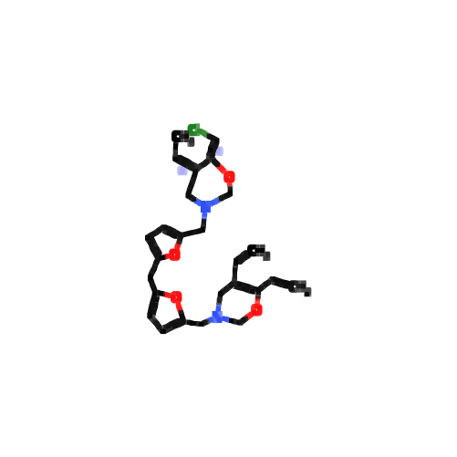 C=CC1=C(C=C)OCN(Cc2ccc(Cc3ccc(CN4COC(=C/Cl)/C(=C\C)C4)o3)o2)C1